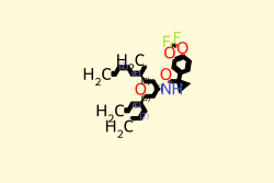 C=C/C=C\C=C(/C=C)[C@H]1C[C@H](NC(=O)C2(c3ccc4c(c3)OC(F)(F)O4)CC2)C[C@@H](C(/C=C\C=C)=C/C=C)O1